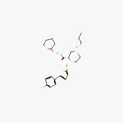 CCCS(=O)(=O)N1CCN(S(=O)(=O)c2ccc(-c3ccc(F)cc3)s2)[C@@H](C(=O)NOC2CCCCO2)C1